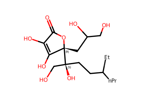 CCCC(CC)CC[C@](O)(CO)[C@@]1(CC(O)CO)OC(=O)C(O)=C1O